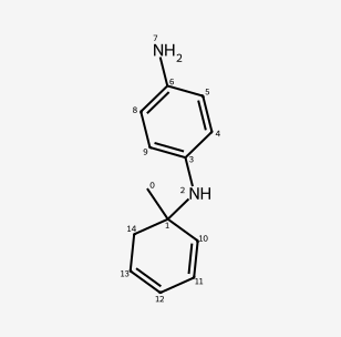 CC1(Nc2ccc(N)cc2)C=CC=CC1